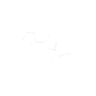 CC(N)c1ccc(-c2ncc[nH]2)s1.Cl